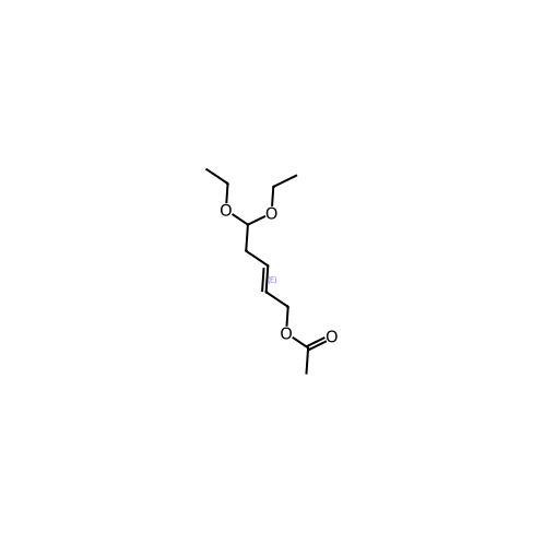 CCOC(C/C=C/COC(C)=O)OCC